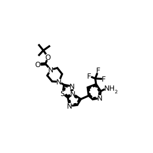 CC(C)(C)OC(=O)N1CCN(c2nn3c(-c4cnc(N)c(C(F)(F)F)c4)cnc3s2)CC1